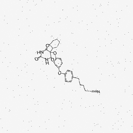 N#CCCCCc1ccc(Oc2ccc(OC3(C4CCCCC4)C(=O)NC(=O)NC3=O)cc2)cc1